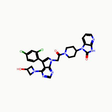 O=C(Cn1cc(-c2ccc(Cl)cc2Cl)c2c(N3CC(O)C3)ncnc21)N1CCC(n2c(=O)[nH]c3ncccc32)CC1